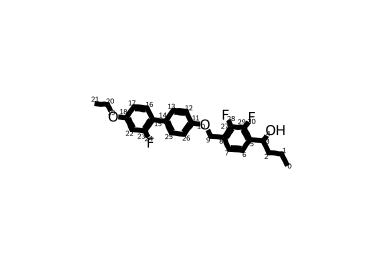 CCCC(O)c1ccc(COc2ccc(-c3ccc(OCC)cc3F)cc2)c(F)c1F